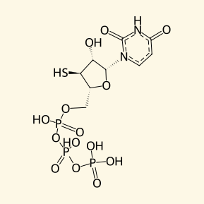 O=c1ccn([C@@H]2O[C@H](COP(=O)(O)OP(=O)(O)OP(=O)(O)O)[C@@H](S)[C@@H]2O)c(=O)[nH]1